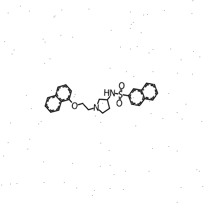 O=S(=O)(NC1CCN(CCOc2cccc3ccccc23)C1)c1ccc2ccccc2c1